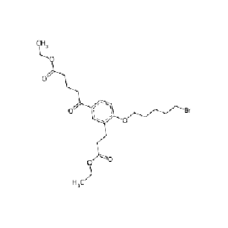 CCOC(=O)CCCC(=O)c1ccc(OCCCCCBr)c(CCC(=O)OCC)c1